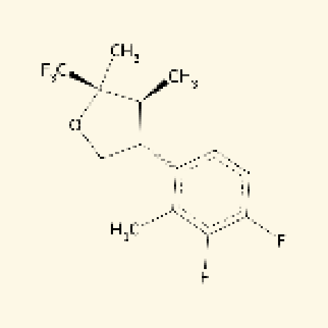 Cc1c([C@@H]2CO[C@@](C)(C(F)(F)F)[C@H]2C)ccc(F)c1F